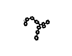 c1ccc(-c2ccc(-c3ccc(C(c4ccc(-c5cccc(-c6ccc7oc8ccccc8c7c6)c5)cc4)c4ccc(-c5ccccc5)c5ccccc45)cc3)cc2)cc1